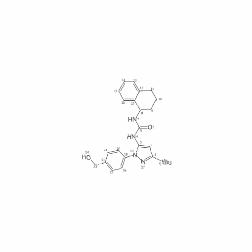 CC(C)(C)c1cc(NC(=O)NC2CCCc3ccccc32)n(-c2ccc(CO)cc2)n1